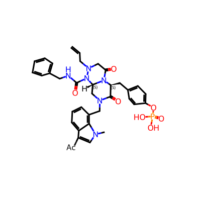 C=CCN1CC(=O)N2[C@@H](Cc3ccc(OP(=O)(O)O)cc3)C(=O)N(Cc3cccc4c(C(C)=O)cn(C)c34)C[C@@H]2N1C(=O)NCc1ccccc1